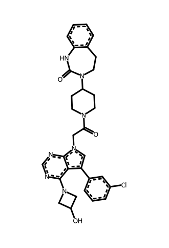 O=C(Cn1cc(-c2cccc(Cl)c2)c2c(N3CC(O)C3)ncnc21)N1CCC(N2CCc3ccccc3NC2=O)CC1